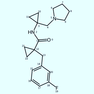 O=C(NC1(CN2CCCC2)CC1)C1(Cc2cccc(F)c2)CC1